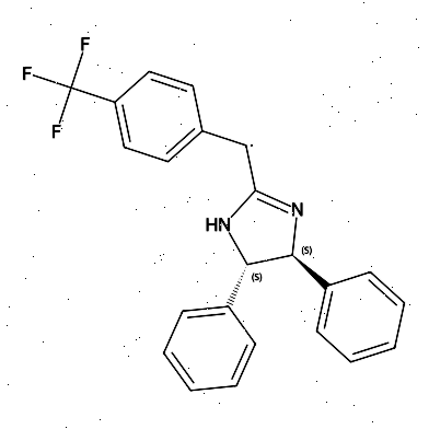 FC(F)(F)c1ccc([CH]C2=N[C@@H](c3ccccc3)[C@H](c3ccccc3)N2)cc1